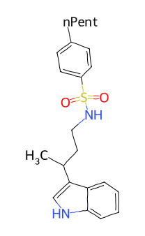 CCCCCc1ccc(S(=O)(=O)NCCC(C)c2c[nH]c3ccccc23)cc1